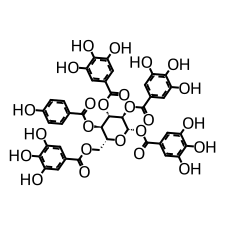 O=C(OC[C@H]1O[C@@H](OC(=O)c2cc(O)c(O)c(O)c2)[C@H](OC(=O)c2cc(O)c(O)c(O)c2)[C@@H](OC(=O)c2cc(O)c(O)c(O)c2)[C@@H]1OC(=O)c1ccc(O)cc1)c1cc(O)c(O)c(O)c1